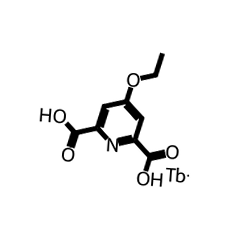 CCOc1cc(C(=O)O)nc(C(=O)O)c1.[Tb]